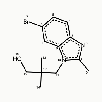 Cc1nc2ccc(Br)cc2n1CC(C)(C)CO